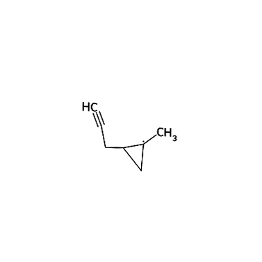 C#CCC1C[C]1C